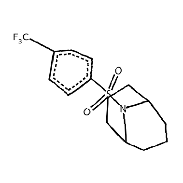 O=S(=O)(c1ccc(C(F)(F)F)cc1)N1C2CCCC1CCC2